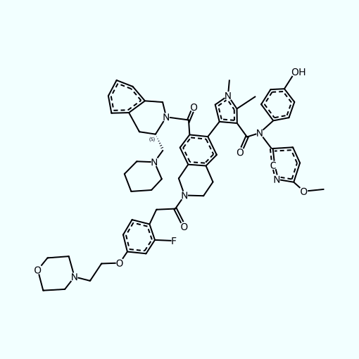 COc1ccc(N(C(=O)c2c(-c3cc4c(cc3C(=O)N3Cc5ccccc5C[C@H]3CN3CCCCC3)CN(C(=O)Cc3ccc(OCCN5CCOCC5)cc3F)CC4)cn(C)c2C)c2ccc(O)cc2)cn1